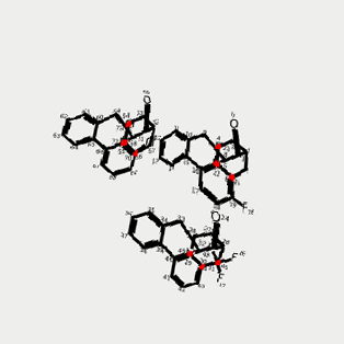 O=C1C2CCN(CC2)C1Cc1ccccc1-c1ccc(F)cc1F.O=C1C2CCN(CC2)C1Cc1ccccc1-c1cccc(C(F)(F)F)c1.O=C1C2CCN(CC2)C1Cc1ccccc1-c1cccc(Cl)c1Cl